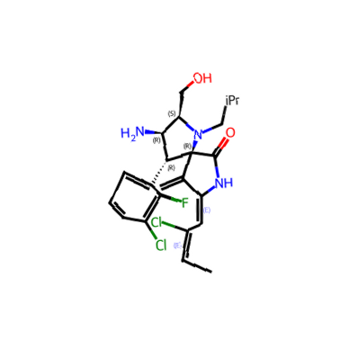 C=C1/C(=C\C(Cl)=C/C)NC(=O)[C@@]12[C@H](c1cccc(Cl)c1F)[C@@H](N)[C@@H](CO)N2CC(C)C